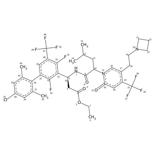 CCOC(=O)C[C@H](NC(=O)C(CC(C)C)n1cc(CCN2CCC2)c(C(F)(F)F)cc1=O)c1c(F)c(-c2c(C)cc(Cl)cc2C)cc(C(F)(F)F)c1F